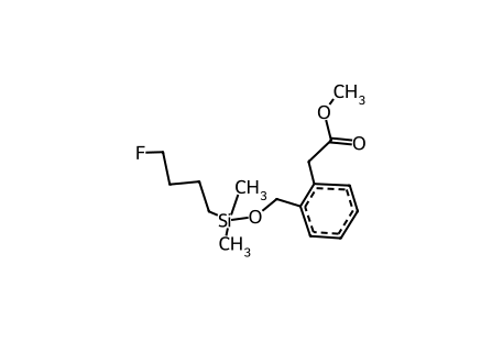 COC(=O)Cc1ccccc1CO[Si](C)(C)CCCCF